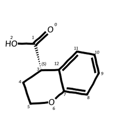 O=C(O)[C@H]1CCOc2ccccc21